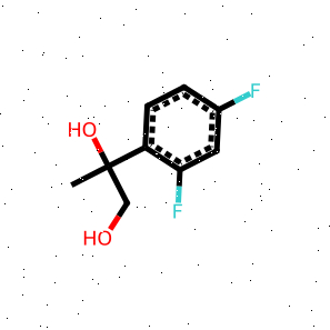 CC(O)(CO)c1ccc(F)cc1F